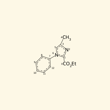 CCOC(=O)c1nc(C)cn1-c1ccccc1